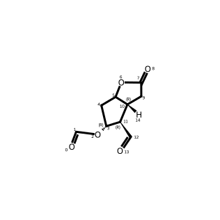 O=CO[C@@H]1CC2OC(=O)C[C@@H]2[C@H]1C=O